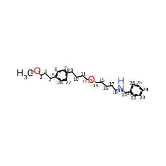 COCCCc1ccc(CCCCOCCCCCNCc2ccccc2)cc1